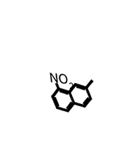 Cc1ccc2cccc([N+](=O)[O-])c2c1